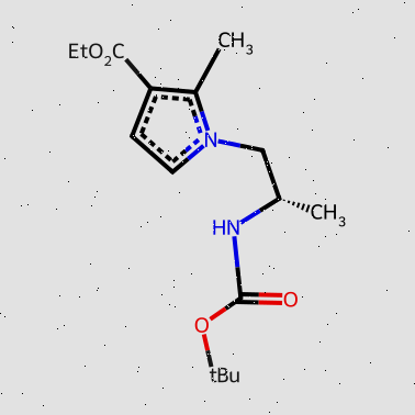 CCOC(=O)c1ccn(C[C@H](C)NC(=O)OC(C)(C)C)c1C